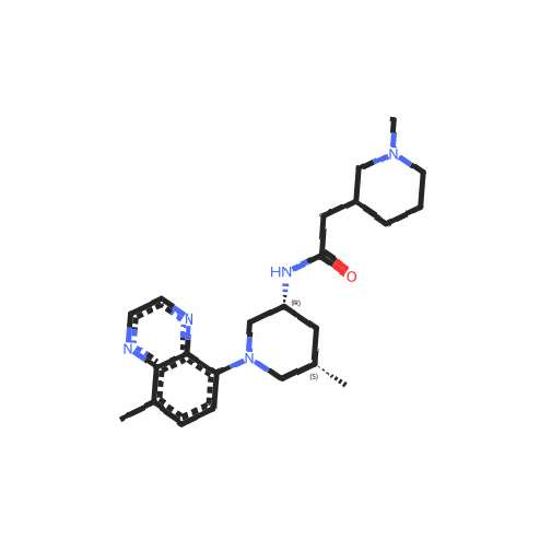 Cc1ccc(N2C[C@@H](C)C[C@@H](NC(=O)CC3CCCN(C)C3)C2)c2nccnc12